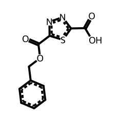 O=C(O)c1nnc(C(=O)OCc2ccccc2)s1